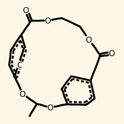 CC1Oc2ccc(cc2)C(=O)OCCOC(=O)c2ccc(cc2)O1